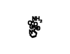 NC(=O)OS(=O)(=O)c1ccccn1